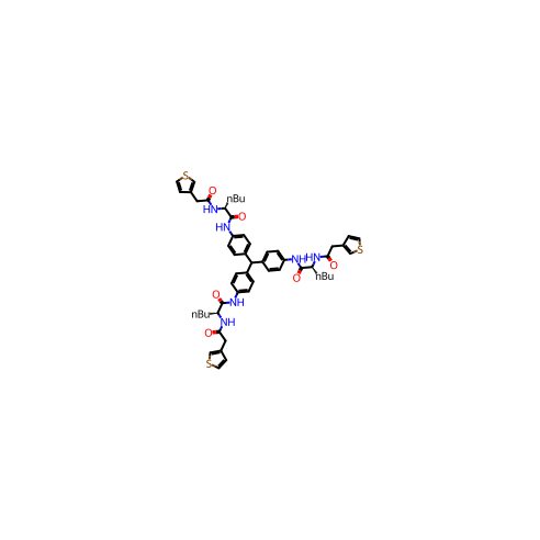 CCCC[C@H](NC(=O)Cc1ccsc1)C(=O)Nc1ccc(C(c2ccc(NC(=O)[C@H](CCCC)NC(=O)Cc3ccsc3)cc2)c2ccc(NC(=O)[C@H](CCCC)NC(=O)Cc3ccsc3)cc2)cc1